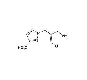 NCC(=CCl)Cn1ccc(C(=O)O)n1